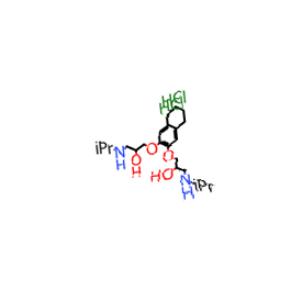 CC(C)NCC(O)COc1cc2c(cc1OCC(O)CNC(C)C)CCCC2.Cl.Cl